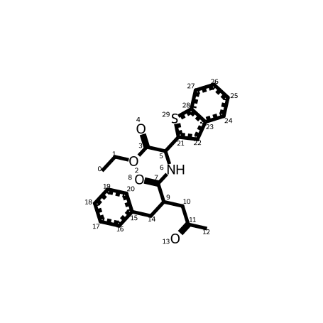 CCOC(=O)C(NC(=O)C(CC(C)=O)Cc1ccccc1)c1cc2ccccc2s1